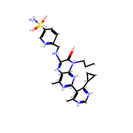 CCCn1c(=O)c(NCc2ccc(S(N)(=O)=O)cn2)nc2c(C)nc(-c3c(C)ncnc3C3CC3)nc21